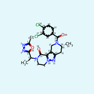 CCc1nnc(C(C)N2CCn3nc4c(c3C2=O)CN(C(=O)c2ccc(Cl)c(Cl)c2)[C@H](C)C4)o1